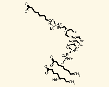 CC(=O)CC(C)=O.CC(=O)CC(C)=O.CC(=O)CC(C)=O.CC(C)[CH2][Al]([CH2]C(C)C)[CH2]C(C)C.CCCCCCCC(=O)[O-].CCCCCCCC(=O)[O-].CCCCCCCC(=O)[O-].C[CH2][Al]([Cl])[CH2]C.C[CH2][Al]([Cl])[CH2]C.C[CH2][Al]([Cl])[CH2]C.[Nd+3]